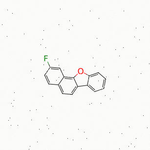 Fc1ccc2ccc3c4ccccc4oc3c2c1